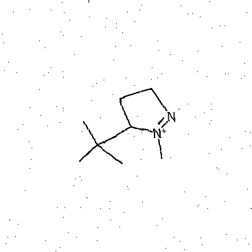 C[N+]1=NCCC1C(C)(C)C